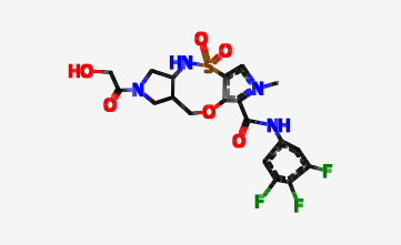 Cn1cc2c(c1C(=O)Nc1cc(F)c(F)c(F)c1)OCC1CN(C(=O)CO)CC1NS2(=O)=O